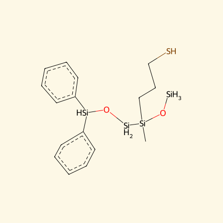 C[Si](CCCS)(O[SiH3])[SiH2]O[SiH](c1ccccc1)c1ccccc1